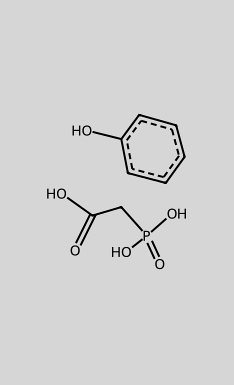 O=C(O)CP(=O)(O)O.Oc1ccccc1